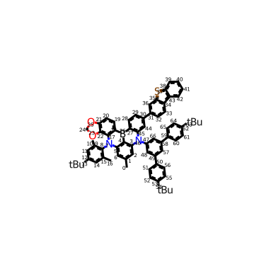 Cc1cc2c3c(c1)N(c1c(C)cc(C(C)(C)C)cc1C)c1c(ccc4c1OCO4)B3c1ccc(-c3ccc4c(c3)sc3ccccc34)cc1N2c1cc(-c2ccc(C(C)(C)C)cc2)cc(-c2ccc(C(C)(C)C)cc2)c1